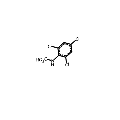 O=C(O)Nc1c(Cl)cc(Cl)cc1Cl